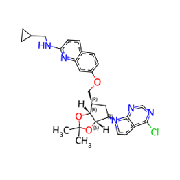 CC1(C)O[C@@H]2[C@@H](COc3ccc4ccc(NCC5CC5)nc4c3)C[C@@H](n3ccc4c(Cl)ncnc43)[C@@H]2O1